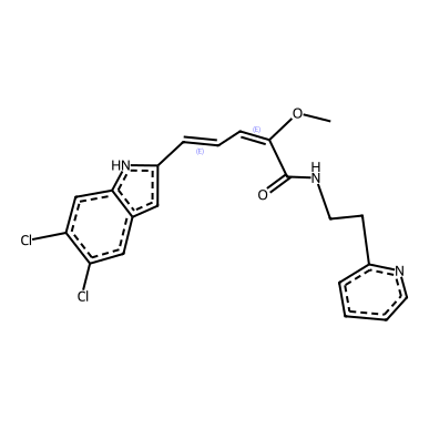 CO/C(=C/C=C/c1cc2cc(Cl)c(Cl)cc2[nH]1)C(=O)NCCc1ccccn1